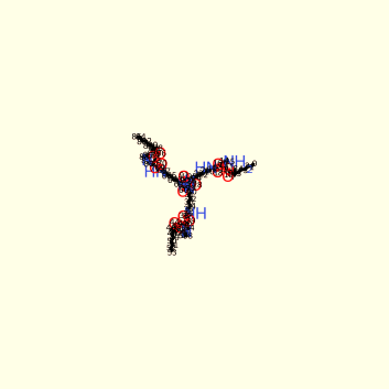 CCCCCCC(C)(C)C(=O)OCC(CN)OC(=O)NCCCCCCn1c(=O)n(CCCCCCNC(=O)OC(COC(=O)C(C)(C)CCCCCC)CN2CCC2)c(=O)n(CCCCCCNC(=O)OC(COC(=O)C(C)(C)CCCCCC)CN2CC2)c1=O